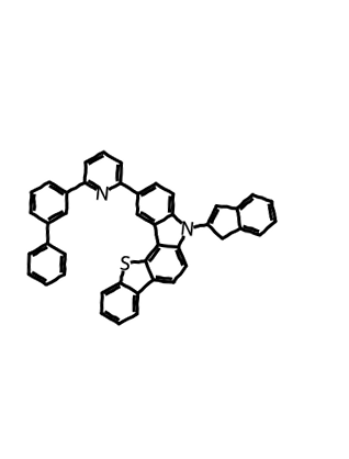 C1=C(n2c3ccc(-c4cccc(-c5cccc(-c6ccccc6)c5)n4)cc3c3c4sc5ccccc5c4ccc32)Cc2ccccc21